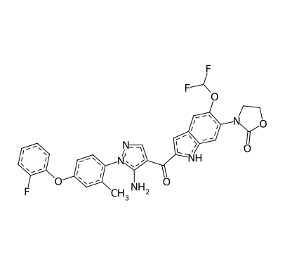 Cc1cc(Oc2ccccc2F)ccc1-n1ncc(C(=O)c2cc3cc(OC(F)F)c(N4CCOC4=O)cc3[nH]2)c1N